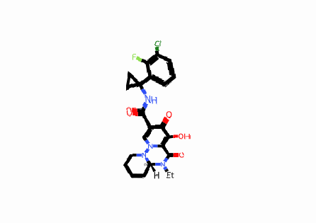 CCN1C(=O)c2c(O)c(=O)c(C(=O)NC3(c4cccc(Cl)c4F)CC3)cn2N2CCCC[C@@H]12